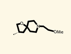 COCCN1CCC2(CC1)C[C@H](C)CO2